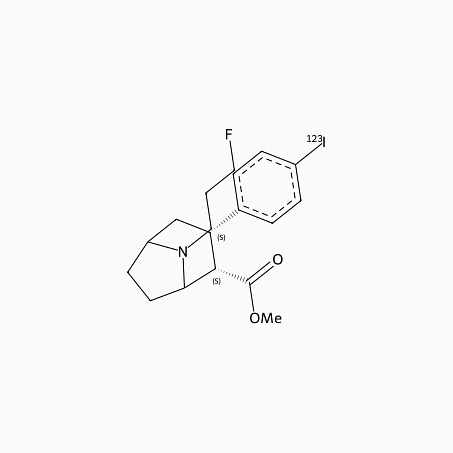 COC(=O)[C@@H]1C2CCC(C[C@@H]1c1ccc([123I])cc1)N2CCCF